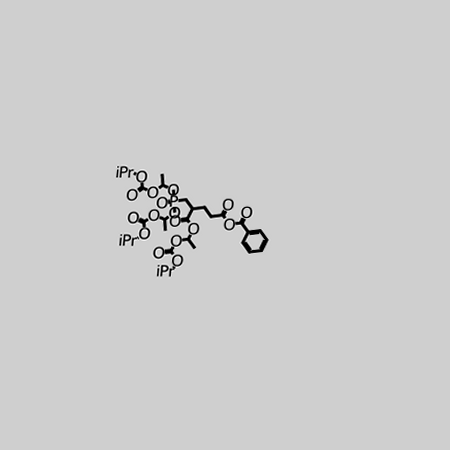 CC(C)OC(=O)OC(C)OC(=O)C(CCC(=O)OC(=O)c1ccccc1)CP(=O)(OC(C)OC(=O)OC(C)C)OC(C)OC(=O)OC(C)C